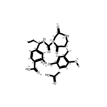 CC(=O)O.CC[C@@H](NC(=O)N1CC(=O)NC[C@H](Cc2cc(Cl)ccc2OC)C1=O)c1ccc(C(=O)O)c(N)c1